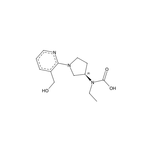 CCN(C(=O)O)[C@@H]1CCN(c2ncccc2CO)C1